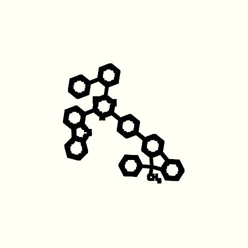 CC1(c2ccccc2)c2ccccc2-c2ccc(-c3ccc(-c4nc(-c5ccccc5-c5ccccc5)nc(-c5cccc6c5sc5ccccc56)n4)cc3)cc21